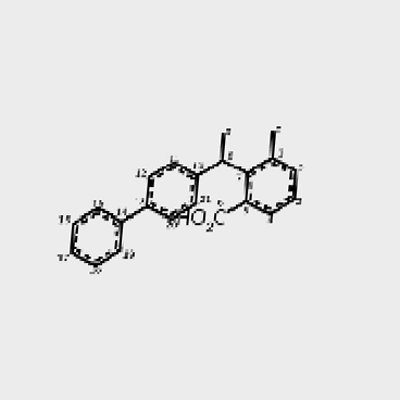 Cc1cccc(C(=O)O)c1C(C)c1ccc(-c2ccccc2)cc1